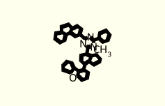 CC1CC=Cc2c(-c3cccc4oc5ccccc5c34)ccc(-c3nc(-c4ccccc4)nc(-c4ccc5ccc6ccccc6c5c4)n3)c21